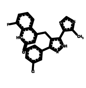 Cc1ncsc1-c1[nH]nc(-c2cccc(Cl)c2)c1Cc1cc(=O)[nH]c2c(F)cccc12